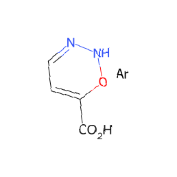 O=C(O)C1=CC=NNO1.[Ar]